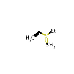 C=C[SH]([SiH3])CC